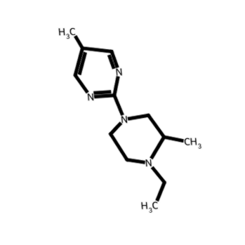 CCN1CCN(c2ncc(C)cn2)CC1C